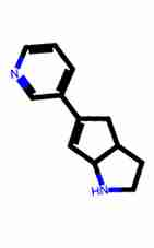 C1=C(c2cccnc2)CC2CCNC12